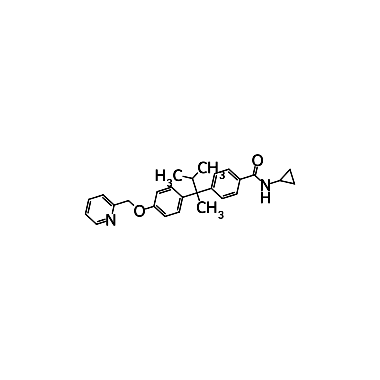 CC(C)C(C)(c1ccc(OCc2ccccn2)cc1)c1ccc(C(=O)NC2CC2)cc1